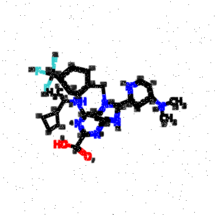 C[C@@H](Nc1nc(C(=O)O)nc2nc(-c3cc(N(C)C)ccn3)n(Cc3ccc(C(F)(F)F)cc3)c12)C1CCC1